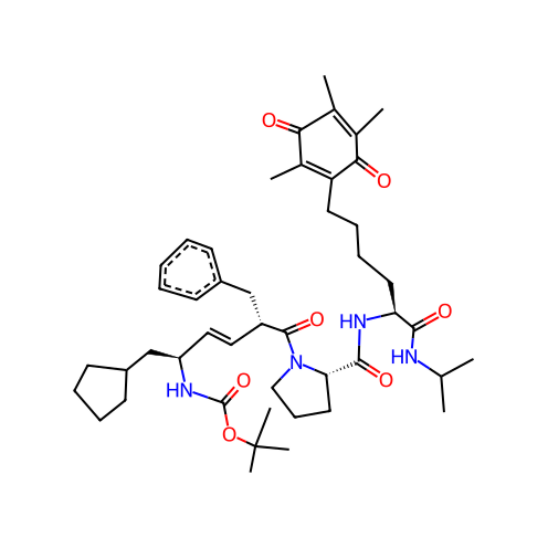 CC1=C(C)C(=O)C(CCCC[C@H](NC(=O)[C@@H]2CCCN2C(=O)[C@H](/C=C/[C@H](CC2CCCC2)NC(=O)OC(C)(C)C)Cc2ccccc2)C(=O)NC(C)C)=C(C)C1=O